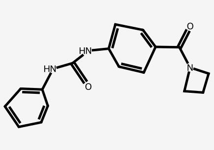 O=C(Nc1ccccc1)Nc1ccc(C(=O)N2CCC2)cc1